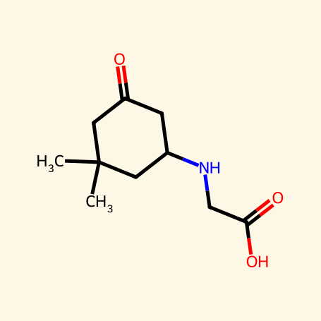 CC1(C)CC(=O)CC(NCC(=O)O)C1